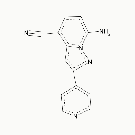 N#Cc1ccc(N)n2nc(-c3ccncc3)cc12